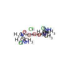 CN(CCC(C)(C)NCl)C(=O)CCOCCOCCOCC[N+](C)(C)CC(C)(C)NCl.[Cl-]